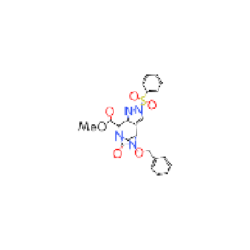 COC(=O)C1c2nn(S(=O)(=O)c3ccccc3)cc2C2CN1C(=O)N2OCc1ccccc1